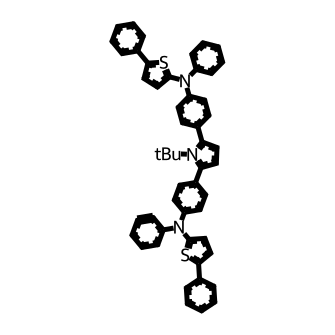 CC(C)(C)n1c(-c2ccc(N(c3c#cccc3)c3ccc(-c4ccccc4)s3)cc2)ccc1-c1ccc(N(c2ccccc2)c2ccc(-c3ccccc3)s2)cc1